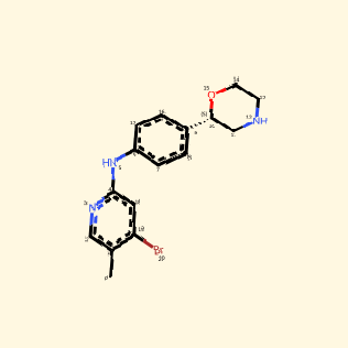 Cc1cnc(Nc2ccc([C@H]3CNCCO3)cc2)cc1Br